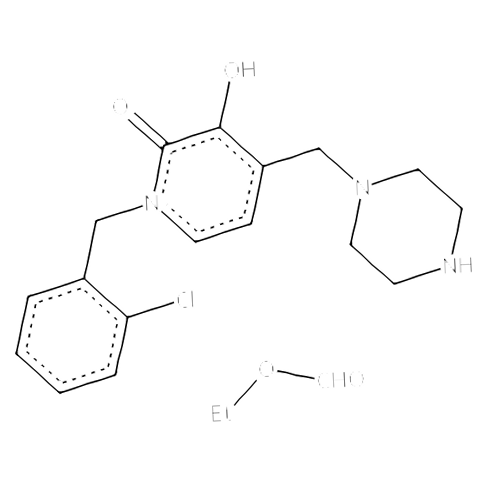 CCOC=O.O=c1c(O)c(CN2CCNCC2)ccn1Cc1ccccc1Cl